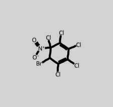 O=[N+]([O-])C1(Cl)C(Cl)=C(Cl)C(Cl)=C(Cl)C1Br